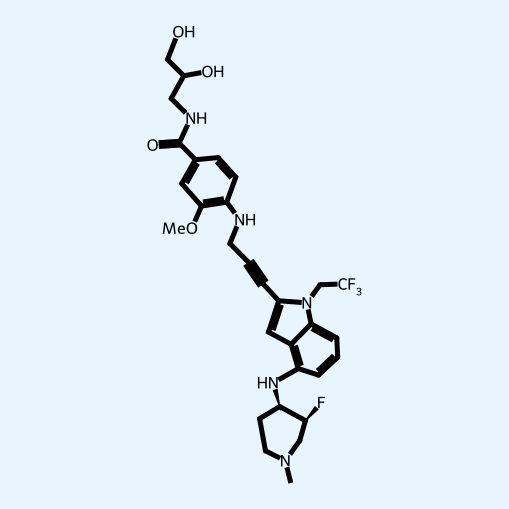 COc1cc(C(=O)NCC(O)CO)ccc1NCC#Cc1cc2c(N[C@@H]3CCN(C)C[C@@H]3F)cccc2n1CC(F)(F)F